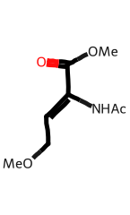 COC/C=C(\NC(C)=O)C(=O)OC